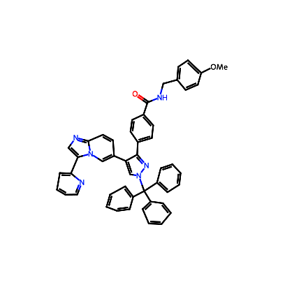 COc1ccc(CNC(=O)c2ccc(-c3nn(C(c4ccccc4)(c4ccccc4)c4ccccc4)cc3-c3ccc4ncc(-c5ccccn5)n4c3)cc2)cc1